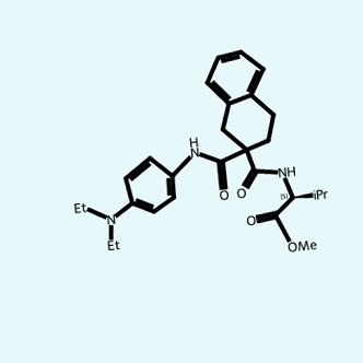 CCN(CC)c1ccc(NC(=O)C2(C(=O)N[C@H](C(=O)OC)C(C)C)CCc3ccccc3C2)cc1